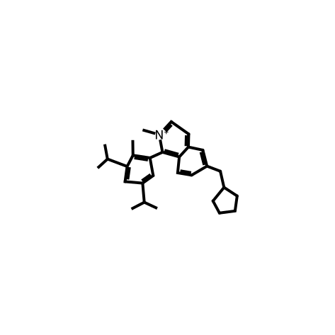 Cc1c(-c2c3ccc(CC4CCCC4)cc3cc[n+]2C)cc(C(C)C)cc1C(C)C